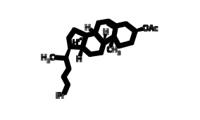 CC(=O)O[C@H]1CC[C@@]2(C)C(=CC[C@H]3[C@@H]4CC[C@H](C(C)CCCC(C)C)[C@H]4CC[C@@H]32)C1